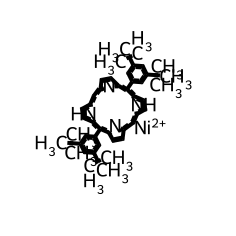 CC(C)(C)c1cc(-c2c3nc(cc4ccc([nH]4)c(-c4cc(C(C)(C)C)cc(C(C)(C)C)c4)c4nc(cc5ccc2[nH]5)C=C4)C=C3)cc(C(C)(C)C)c1.[Ni+2]